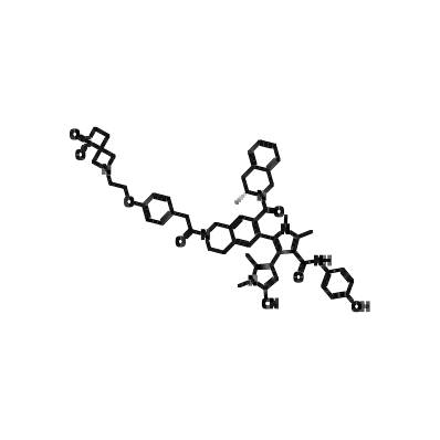 Cc1c(-c2c(C(=O)Nc3ccc(O)cc3)c(C)n(C)c2-c2cc3c(cc2C(=O)N2Cc4ccccc4C[C@H]2C)CN(C(=O)Cc2ccc(OCCN4CC5(CCS5(=O)=O)C4)cc2)CC3)cc(C#N)n1C